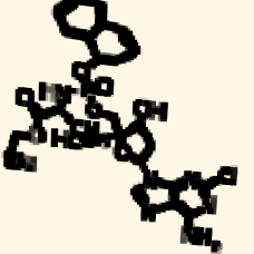 C#C[C@]1(CO[P@@](=O)(N[C@@H](C)C(=O)OCC(C)(C)C)Oc2cccc3ccccc23)O[C@@H](n2cnc3c(N)nc(Cl)nc32)C[C@@H]1O